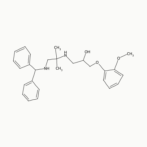 COc1ccccc1OCC(O)CNC(C)(C)CNC(c1ccccc1)c1ccccc1